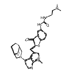 CN(C)CCNC(=O)Nc1ccc2c(c1)C(=O)/C(=C/c1cn(C)c3nccc(N4CC5CCC(C4)O5)c13)O2